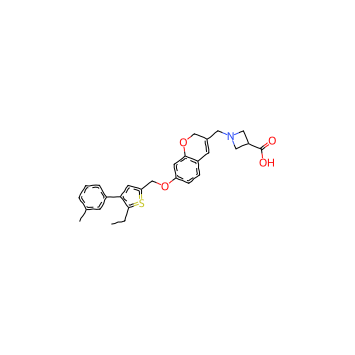 CCc1sc(COc2ccc3c(c2)OCC(CN2CC(C(=O)O)C2)=C3)cc1-c1cccc(C)c1